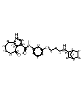 O=C(Nc1cccc(OCCCNC2CC3CCC2C3)c1)c1c[nH]c2c1C(=O)CCCC2